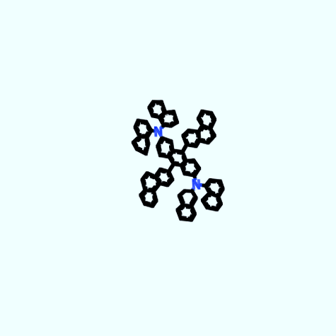 C1=c2ccccc2=CC(N(c2ccc3c(-c4ccc5c(ccc6ccccc65)c4)c4cc(N(c5cccc6ccccc56)c5cccc6ccccc56)ccc4c(-c4ccc5c(ccc6ccccc65)c4)c3c2)c2cccc3ccccc23)C1